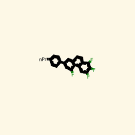 CCCc1ccc(-c2cc(F)c3c(ccc4c(F)c(F)c(F)cc43)c2)cc1